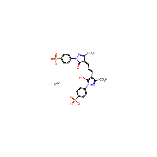 O=C(O)C1=NN(c2ccc(S(=O)(=O)[O-])cc2)C(=O)C1=CC=Cc1c(C(=O)O)nn(-c2ccc(S(=O)(=O)[O-])cc2)c1O.[K+].[K+]